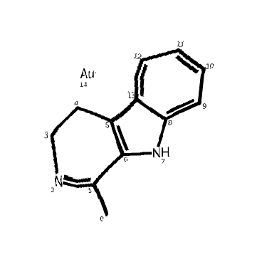 CC1=NCCc2c1[nH]c1ccccc21.[Au]